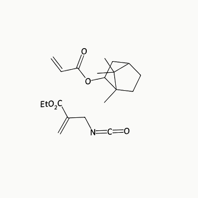 C=C(CN=C=O)C(=O)OCC.C=CC(=O)OC1CC2CCC1(C)C2(C)C